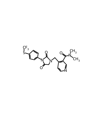 CN(C)C(=O)c1cnccc1CN1CC(=O)N(c2ccc(SC(F)(F)F)cc2)C1=O